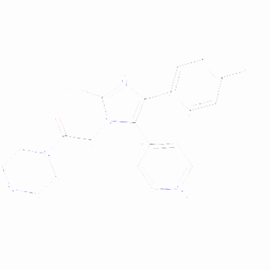 O=C(Cn1c(C(F)(F)F)nc(-c2ccc(C(F)(F)F)cc2)c1-c1ccncc1)N1CCNCC1